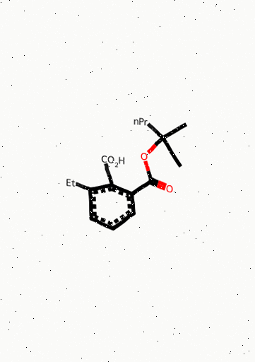 CCCC(C)(C)OC(=O)c1cccc(CC)c1C(=O)O